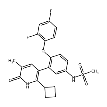 Cc1cc(-c2cc(NS(C)(=O)=O)ccc2Oc2ccc(F)cc2F)c(C2CCC2)[nH]c1=O